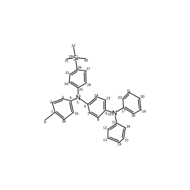 Cc1ccc(N(c2ccc(N(c3ccccc3)c3ccccc3)cc2)c2ccc([Si](C)(C)C)cc2)cc1